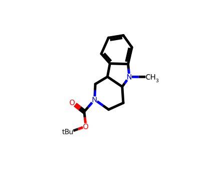 CN1c2ccccc2C2CN(C(=O)OC(C)(C)C)CCC21